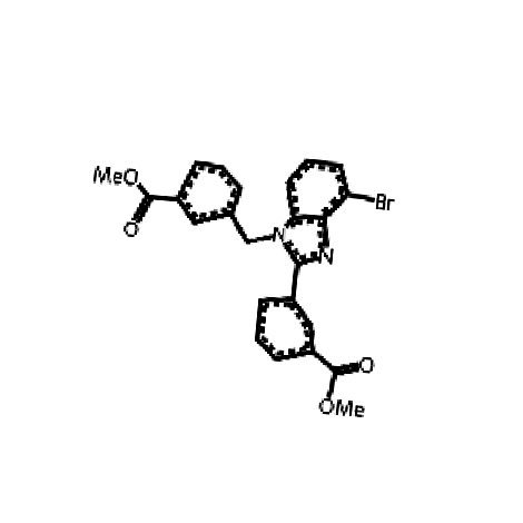 COC(=O)c1cccc(Cn2c(-c3cccc(C(=O)OC)c3)nc3c(Br)cccc32)c1